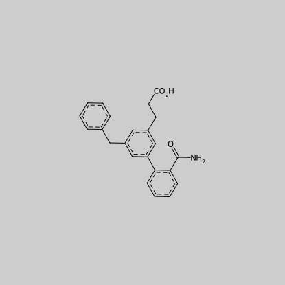 NC(=O)c1ccccc1-c1cc(CCC(=O)O)cc(Cc2ccccc2)c1